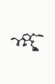 C=CC(=O)c1ccc(OCOC)c(OCOC)c1O